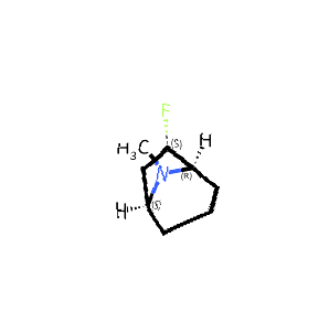 CN1[C@H]2CCC[C@@H]1[C@@H](F)C2